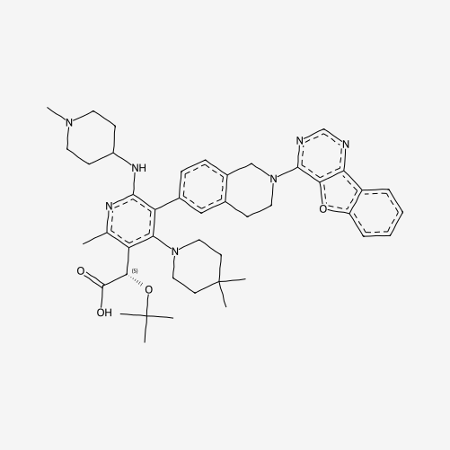 Cc1nc(NC2CCN(C)CC2)c(-c2ccc3c(c2)CCN(c2ncnc4c2oc2ccccc24)C3)c(N2CCC(C)(C)CC2)c1[C@H](OC(C)(C)C)C(=O)O